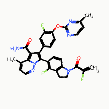 C=C(F)C(=O)N1CCc2c1ccc(-c1c(-c3ccc(Oc4nccc(C)n4)c(F)c3)c(C(N)=O)c3c(C)ccnn13)c2F